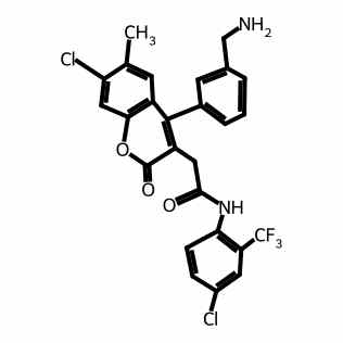 Cc1cc2c(-c3cccc(CN)c3)c(CC(=O)Nc3ccc(Cl)cc3C(F)(F)F)c(=O)oc2cc1Cl